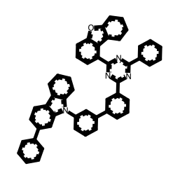 c1ccc(-c2ccc3c4ccccc4n(-c4cccc(-c5cccc(-c6nc(-c7ccccc7)nc(-c7cccc8oc9ccccc9c78)n6)c5)c4)c3c2)cc1